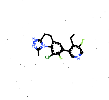 CCc1c(F)cncc1-c1cc2c(c(Cl)c1F)-n1c(C)nnc1CC2